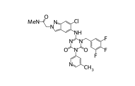 CNC(=O)Cn1cc2cc(Nc3nc(=O)n(-c4cncc(C)c4)c(=O)n3Cc3cc(F)c(F)c(F)c3)c(Cl)cc2n1